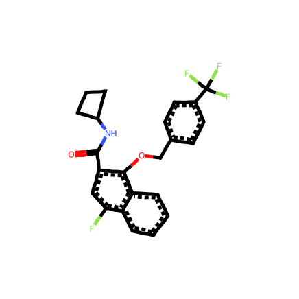 O=C(NC1CCC1)c1cc(F)c2ccccc2c1OCc1ccc(C(F)(F)F)cc1